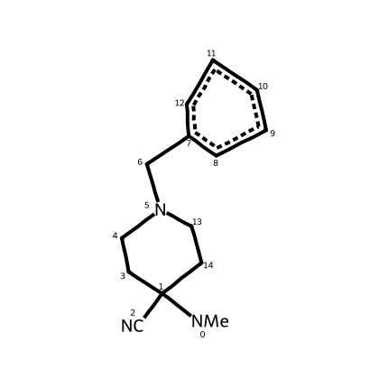 CNC1(C#N)CCN(Cc2ccccc2)CC1